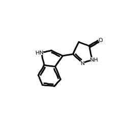 O=C1CC(c2c[nH]c3ccccc23)=NN1